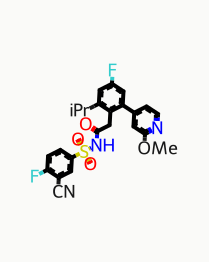 COc1cc(-c2cc(F)cc(C(C)C)c2CC(=O)NS(=O)(=O)c2ccc(F)c(C#N)c2)ccn1